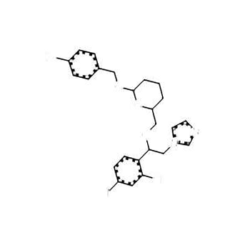 Clc1ccc(C(Cn2ccnc2)OCC2CCCC(OCc3ccc(Br)cc3)O2)c(Cl)c1